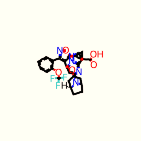 O=C(O)c1cnn2ccc(N3C4CC[C@H]3CC(OCc3c(-c5ccccc5OC(F)(F)F)noc3C3CC3)C4)nc12